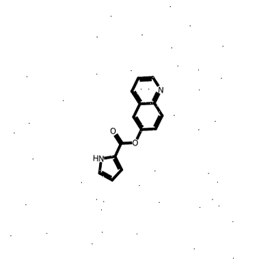 O=C(Oc1ccc2ncccc2c1)c1ccc[nH]1